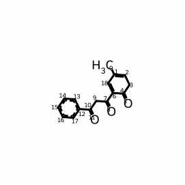 CC1=CCC(=O)C(C(=O)CC(=O)c2ccccc2)=C1